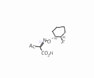 CC(=O)/C(=N/O[C@@H]1CCCC[C@H]1F)C(=O)O